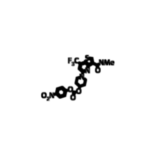 CNC(=O)c1csc2c(C(F)(F)F)cc(N3CCC(OC(=O)Oc4ccc([N+](=O)[O-])cc4)CC3)nc12